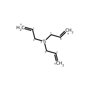 C=C[CH2][Ti]([CH2]C=C)[CH2]C=C